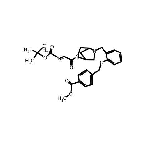 COC(=O)c1ccc(COc2ccccc2CN2CC3CC2CN3C(=O)CNC(=O)OC(C)(C)C)cc1